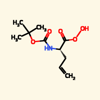 C=CC[C@H](NC(=O)OC(C)(C)C)C(=O)OO